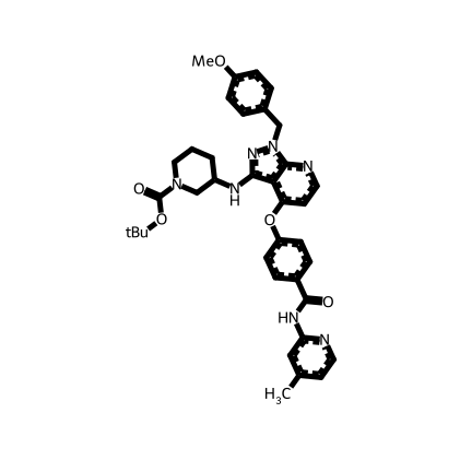 COc1ccc(Cn2nc(NC3CCCN(C(=O)OC(C)(C)C)C3)c3c(Oc4ccc(C(=O)Nc5cc(C)ccn5)cc4)ccnc32)cc1